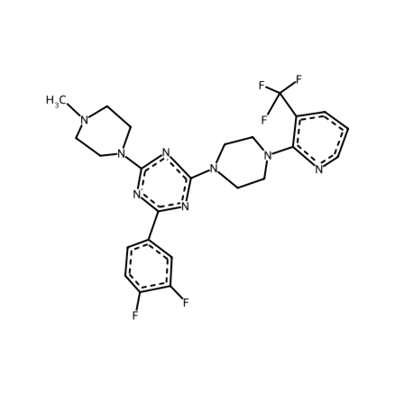 CN1CCN(c2nc(-c3ccc(F)c(F)c3)nc(N3CCN(c4ncccc4C(F)(F)F)CC3)n2)CC1